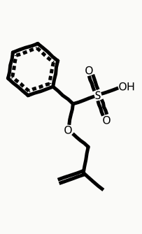 C=C(C)COC(c1ccccc1)S(=O)(=O)O